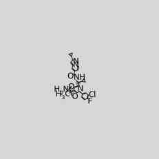 C[C@]1(C(N)=O)COc2c1cc([C@@H](CNC(=O)c1ccn3nc(C4CC4)cc3c1)C1CC1)nc2-c1ccc(F)c(Cl)c1